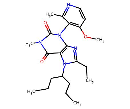 CCCC(CCC)n1c(CC)nc2c1c(=O)n(C)c(=O)n2-c1c(OC)ccnc1C